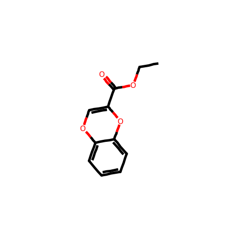 CCOC(=O)C1=COc2ccccc2O1